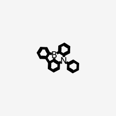 C1=CC(N2c3ccccc3B3c4ccccc4-c4cccc2c43)=CCC1